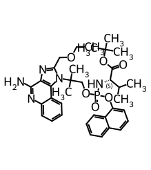 CCOCc1nc2c(N)nc3ccccc3c2n1C(C)(C)COP(=O)(N[C@H](C(=O)OC(C)(C)C)C(C)C)Oc1cccc2ccccc12